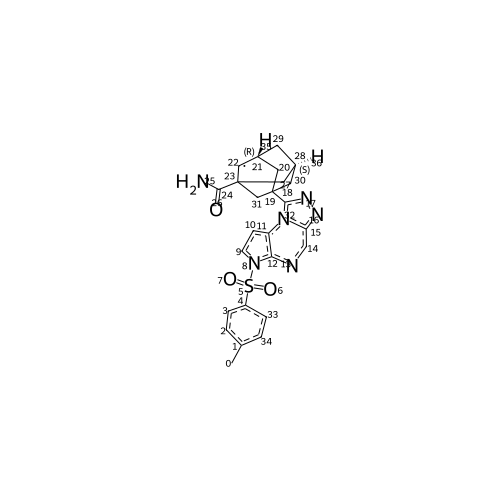 Cc1ccc(S(=O)(=O)n2ccc3c2ncc2nnc(C45C[C@@H]6[CH]C(C(N)=O)(C[C@@H](C6)C4)C5)n23)cc1